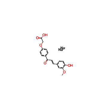 COc1cc(C=CC(=O)c2ccc(OCC(=O)O)cc2)ccc1O.[Na].[Na]